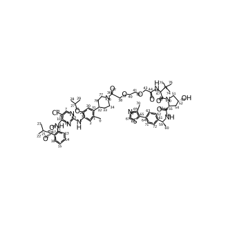 Cc1cc(Nc2ncc(Cl)c(Nc3ccccc3S(=O)(=O)C(C)C)n2)c(OC(C)C)cc1C1CCN(C(=O)COCCOCC(=O)N[C@H](C(=O)N2C[C@H](O)C[C@H]2C(=O)N[C@@H](C)c2ccc(-c3scnc3C)cc2)C(C)(C)C)CC1